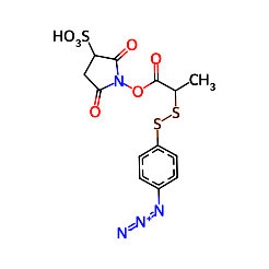 CC(SSc1ccc(N=[N+]=[N-])cc1)C(=O)ON1C(=O)CC(S(=O)(=O)O)C1=O